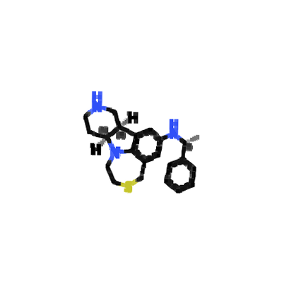 C[C@@H](Nc1cc2c3c(c1)[C@@H]1CNCC[C@@H]1N3CCSC2)c1ccccc1